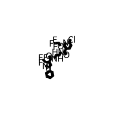 O=C(NCCNC(=O)c1cn(-c2ccccc2)nc1C(F)(F)F)c1ccc(Cl)nc1OCC(F)(F)F